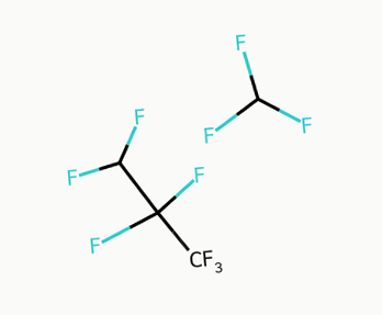 FC(F)C(F)(F)C(F)(F)F.FC(F)F